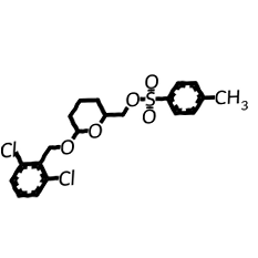 Cc1ccc(S(=O)(=O)OCC2CCCC(OCc3c(Cl)cccc3Cl)O2)cc1